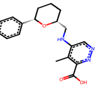 Cc1c(NC[C@H]2CCC[C@@H](c3ccccc3)O2)cnnc1C(=O)O